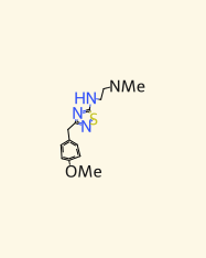 CNCCNc1nc(Cc2ccc(OC)cc2)ns1